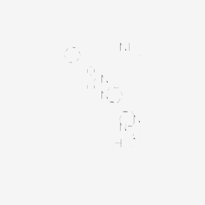 COc1ncc(-c2ccc(N(C(=O)OCc3ccccc3)[C@H]3CC[C@H](N)CC3)nc2)cn1